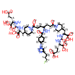 O=C(O)CC[C@H](NC(=O)N[C@@H](CC1CCN(C(=O)CCC(CCC(=O)N2CCC(C[C@H](NC(=O)N[C@@H](CCC(=O)O)C(=O)O)C(=O)O)CC2)NC(=O)c2ccc(-n3cc(CCCF)nn3)cc2)CC1)C(=O)O)C(=O)O